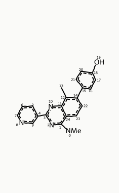 CNc1nc(-c2cccnc2)nc2c(C)c(-c3ccc(O)cc3)ccc12